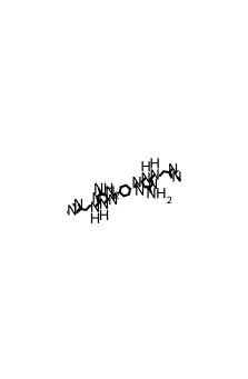 Cn1cnc(CCNc2nc(N)c3nc([C@H]4CC[C@H](c5nc6[nH]c(NCCc7cn(C)cn7)nc(N)c-6n5)CC4)nc-3[nH]2)c1